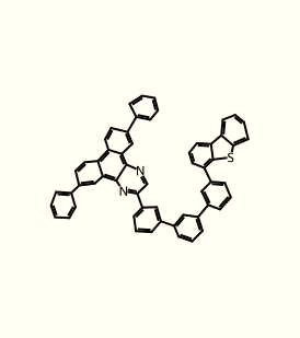 c1ccc(-c2ccc3c4ccc(-c5ccccc5)cc4c4nc(-c5cccc(-c6cccc(-c7cccc(-c8cccc9c8sc8ccccc89)c7)c6)c5)cnc4c3c2)cc1